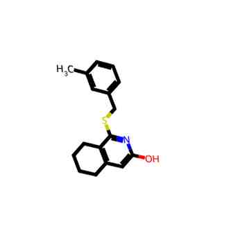 Cc1cccc(CSc2nc(O)cc3c2CCCC3)c1